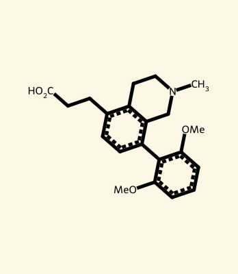 COc1cccc(OC)c1-c1ccc(CCC(=O)O)c2c1CN(C)CC2